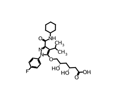 CC(C)c1c(C(=O)NC2CCCCC2)nn(-c2ccc(F)cc2)c1OC[C@@H](O)C[C@@H](O)CC(=O)O